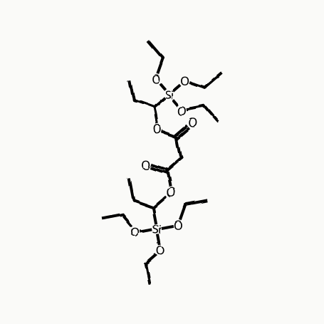 CCO[Si](OCC)(OCC)C(CC)OC(=O)CC(=O)OC(CC)[Si](OCC)(OCC)OCC